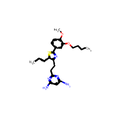 CCCCOc1cc(-c2nc(CCc3nc(N)cc(N)n3)c(CCC)s2)ccc1OC